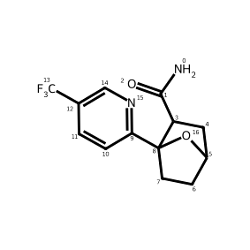 NC(=O)C1CC2CCC1(c1ccc(C(F)(F)F)cn1)O2